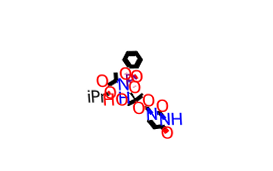 CC(C)OC(=O)C(C)NP(=O)(OC[C@@]1(CO)COC(n2ccc(=O)[nH]c2=O)O1)Oc1ccccc1